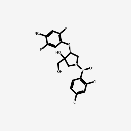 N#Cc1cc(F)c(S[C@H]2CN([S+]([O-])c3ccc(Cl)cc3Cl)CC2(O)CO)cc1F